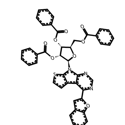 O=C(OC[C@H]1O[C@@H](n2c3ncnc(-c4cc5ccccc5o4)c3c3ccsc32)[C@H](OC(=O)c2ccccc2)[C@@H]1OC(=O)c1ccccc1)c1ccccc1